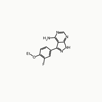 CCOc1ccc(-c2n[nH]c3ncnc(N)c23)cc1F